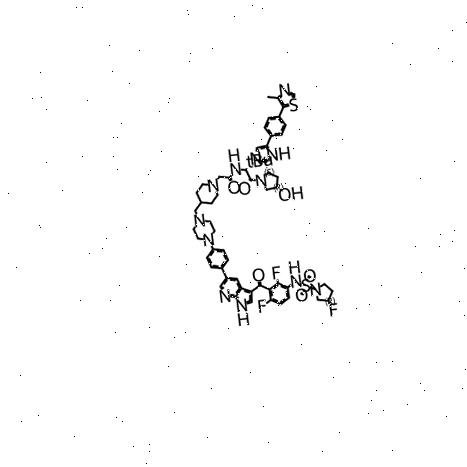 Cc1ncsc1-c1ccc(-c2cnc([C@@H]3C[C@@H](O)CN3C(=O)C(NC(=O)CN3CCC(CN4CCN(c5ccc(-c6cnc7[nH]cc(C(=O)c8c(F)ccc(NS(=O)(=O)N9CC[C@@H](F)C9)c8F)c7c6)cc5)CC4)CC3)C(C)(C)C)[nH]2)cc1